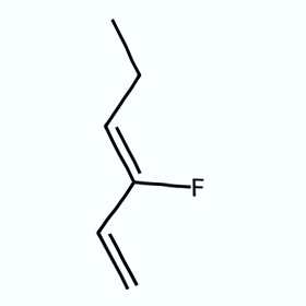 C=CC(F)=CCC